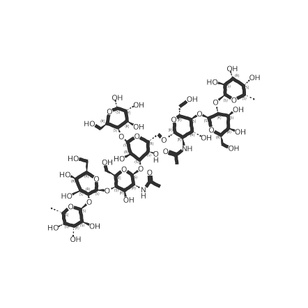 CC(=O)N[C@H]1[C@H](OC[C@H]2O[C@@H](O[C@H]3[C@H](O)[C@@H](O)[C@@H](O)O[C@@H]3CO)[C@H](O)[C@@H](O[C@@H]3O[C@H](CO)[C@@H](O[C@@H]4O[C@H](CO)[C@H](O)[C@H](O)[C@H]4O[C@@H]4O[C@@H](C)[C@@H](O)[C@@H](O)[C@@H]4O)[C@H](O)[C@H]3NC(C)=O)[C@H]2O)O[C@H](CO)[C@@H](O[C@@H]2O[C@H](CO)[C@H](O)[C@H](O)[C@H]2O[C@@H]2O[C@@H](C)[C@@H](O)[C@@H](O)[C@@H]2O)[C@@H]1O